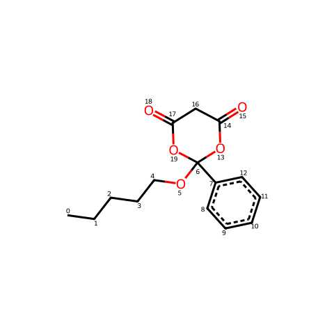 CCCCCOC1(c2ccccc2)OC(=O)CC(=O)O1